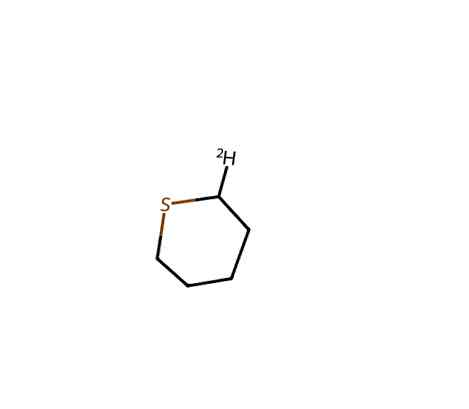 [2H]C1CCCCS1